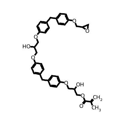 C=C(C)C(=O)OCC(O)COc1ccc(Cc2ccc(OCC(O)COc3ccc(Cc4ccc(OCC5CO5)cc4)cc3)cc2)cc1